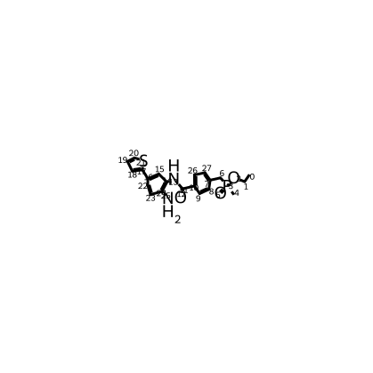 CCOP(C)(=O)Cc1ccc(C(=O)Nc2cc(-c3cccs3)ccc2N)cc1